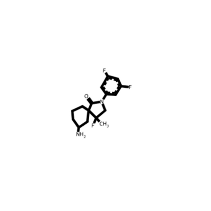 CC1(F)CN(c2cc(F)cc(F)c2)C(=O)C12CCCC(N)C2